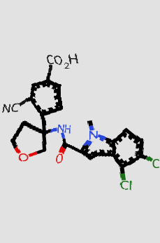 Cn1c(C(=O)NC2(c3ccc(C(=O)O)cc3C#N)CCOC2)cc2c(Cl)c(Cl)ccc21